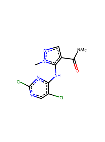 CNC(=O)c1cnn(C)c1Nc1nc(Cl)ncc1Cl